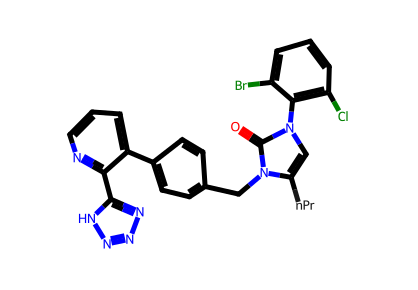 CCCc1cn(-c2c(Cl)cccc2Br)c(=O)n1Cc1ccc(-c2cccnc2-c2nnn[nH]2)cc1